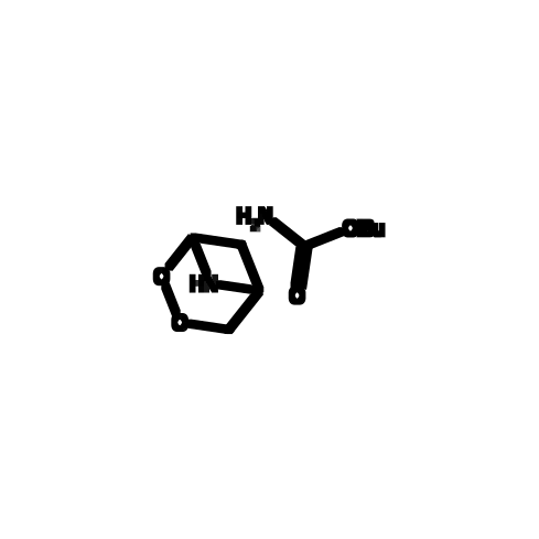 C1OOC2CC1N2.CC(C)COC(N)=O